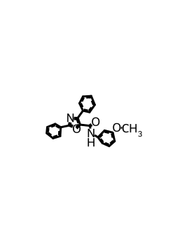 COc1cccc(NC(=O)c2oc(-c3ccccc3)nc2-c2ccccc2)c1